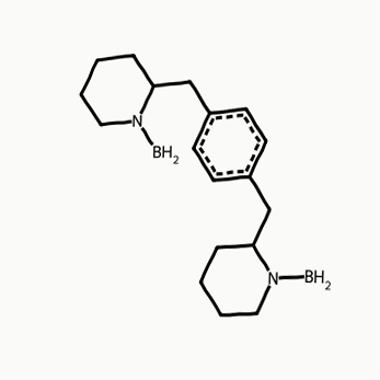 BN1CCCCC1Cc1ccc(CC2CCCCN2B)cc1